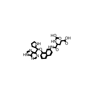 O=C(O)CCC(NC(=O)O)C(=O)Nc1ccc2cccc(O[C@@H](c3ncnc4[nH]cnc34)C3CCCN3)c2c1